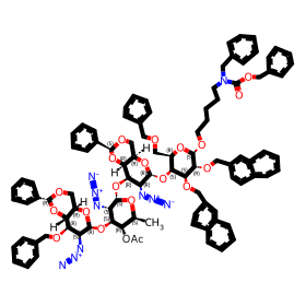 CC(=O)O[C@H]1[C@@H](O[C@@H]2O[C@@H]3CO[C@@H](c4ccccc4)O[C@H]3[C@H](OCc3ccccc3)[C@@H]2N=[N+]=[N-])[C@H](N=[N+]=[N-])[C@H](O[C@@H]2[C@@H](N=[N+]=[N-])[C@@H](O[C@@H]3[C@H](OCc4ccc5ccccc5c4)[C@@H](OCc4ccc5ccccc5c4)[C@@H](OCCCCCN(Cc4ccccc4)C(=O)OCc4ccccc4)O[C@@H]3COCc3ccccc3)O[C@@H]3CO[C@H](c4ccccc4)O[C@H]23)O[C@H]1C